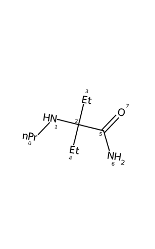 CCCNC(CC)(CC)C(N)=O